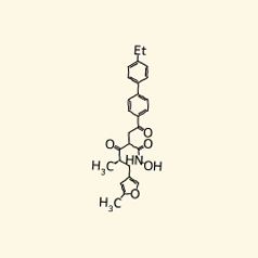 CCc1ccc(-c2ccc(C(=O)CC(C(=O)NO)C(=O)[C@H](C)Cc3coc(C)c3)cc2)cc1